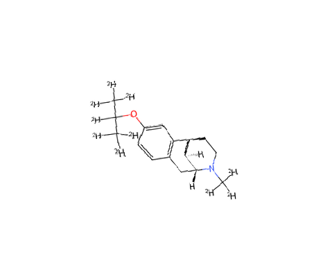 [2H]C([2H])([2H])N1CC[C@]23CCCC[C@@H]2[C@H]1Cc1ccc(OC([2H])(C([2H])([2H])[2H])C([2H])([2H])[2H])cc13